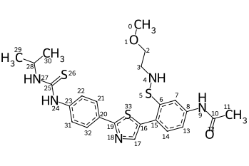 COCCNSc1cc(NC(C)=O)ccc1-c1cnc(-c2ccc(NC(=S)NC(C)C)cc2)s1